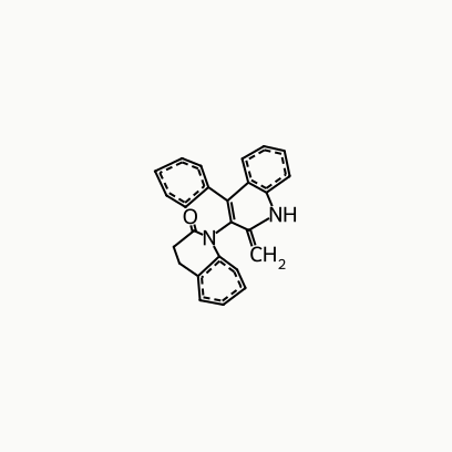 C=C1Nc2ccccc2C(c2ccccc2)=C1N1C(=O)CCc2ccccc21